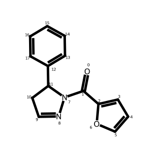 O=C(c1ccco1)N1N=CCC1c1ccccc1